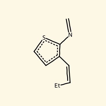 C=Nc1sccc1/C=C\CC